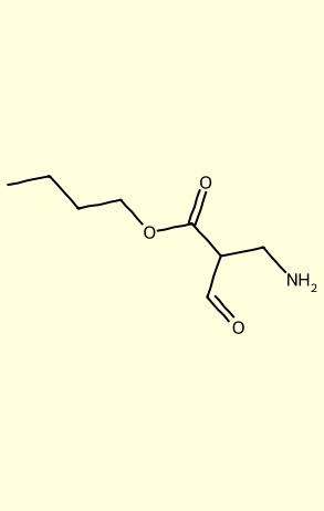 CCCCOC(=O)C(C=O)CN